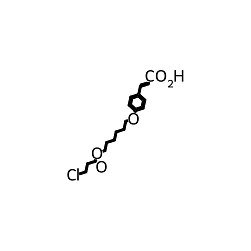 O=C(O)/C=C/c1ccc(OCCCCCCOC(=O)CCCl)cc1